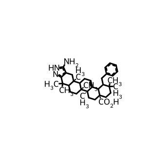 CC1(C)CC[C@]2(C(=O)O)CC[C@]3(C)C(=CCC4[C@@]5(C)Cc6c(n[nH]c6N)C(C)(C)C5CC[C@]43C)C2C1Cc1ccccc1